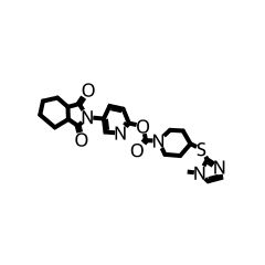 Cn1ccnc1SC1CCN(C(=O)Oc2ccc(N3C(=O)C4CCCCC4C3=O)cn2)CC1